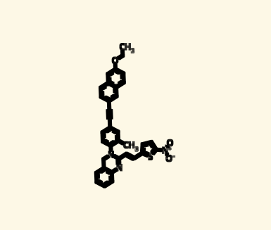 CCOc1ccc2cc(C#Cc3ccc(N4Cc5ccccc5N=C4/C=C/c4ccc([N+](=O)[O-])s4)c(C)c3)ccc2c1